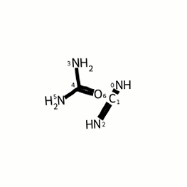 N=C=N.NC(N)=O